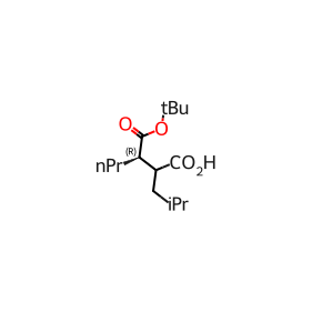 CCC[C@@H](C(=O)OC(C)(C)C)C(CC(C)C)C(=O)O